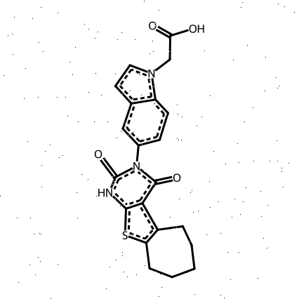 O=C(O)Cn1ccc2cc(-n3c(=O)[nH]c4sc5c(c4c3=O)CCCCC5)ccc21